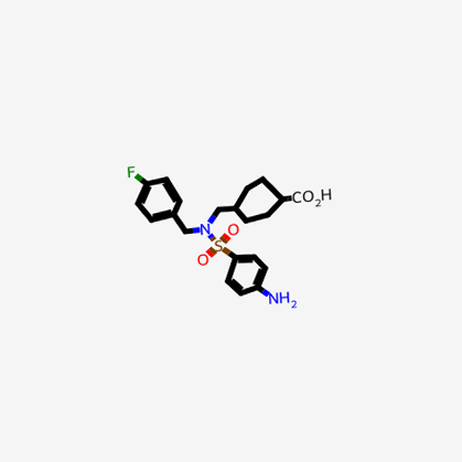 Nc1ccc(S(=O)(=O)N(Cc2ccc(F)cc2)CC2CCC(C(=O)O)CC2)cc1